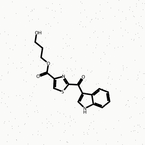 O=C(OCCCO)c1csc(C(=O)c2c[nH]c3ccccc23)n1